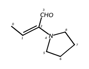 CC=C(C=O)N1CCCC1